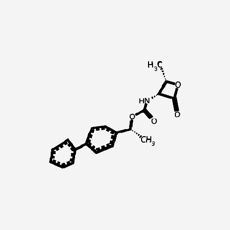 C[C@@H]1OC(=O)[C@@H]1NC(=O)O[C@H](C)c1ccc(-c2ccccc2)cc1